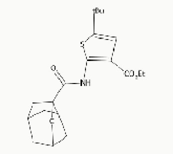 CCOC(=O)c1cc(C(C)(C)C)sc1NC(=O)C12CC3CC(CC1C3)C2